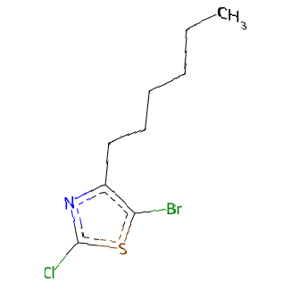 CCCCCCc1nc(Cl)sc1Br